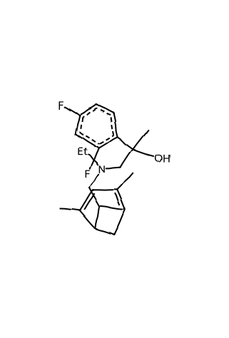 CCN(CC1C2=C(C)C=C(C)C1C2)CC(C)(O)c1ccc(F)cc1F